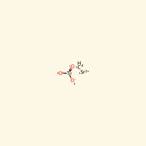 C.[O]=[Ti]([O-])[O-].[Sr+2]